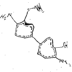 NSc1cc(-c2ccc(N)c(S)c2)ccc1N